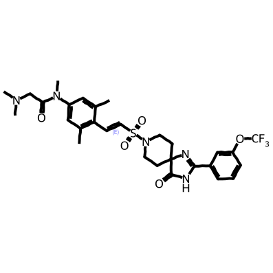 Cc1cc(N(C)C(=O)CN(C)C)cc(C)c1/C=C/S(=O)(=O)N1CCC2(CC1)N=C(c1cccc(OC(F)(F)F)c1)NC2=O